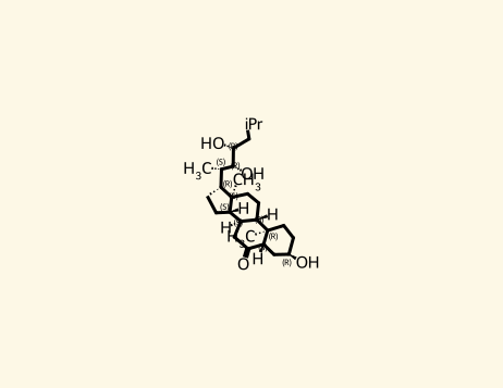 CC(C)C[C@@H](O)[C@H](O)[C@@H](C)[C@H]1CC[C@H]2[C@@H]3CC(=O)[C@H]4C[C@H](O)CC[C@]4(C)[C@H]3CC[C@]12C